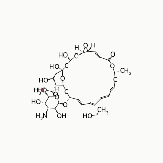 CCO.C[C@@H]1C/C=C/C=C/C=C/C=C/[C@H](O[C@@H]2O[C@H](C)[C@@H](O)[C@H](N)[C@@H]2O)C[C@@H]2O[C@](O)(C[C@@H](O)C[C@H]3O[C@@H]3/C=C/C(=O)O1)C[C@H](O)[C@H]2C(=O)O